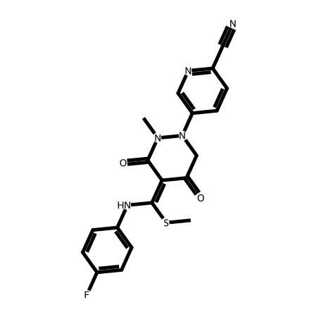 CSC(Nc1ccc(F)cc1)=C1C(=O)CN(c2ccc(C#N)nc2)N(C)C1=O